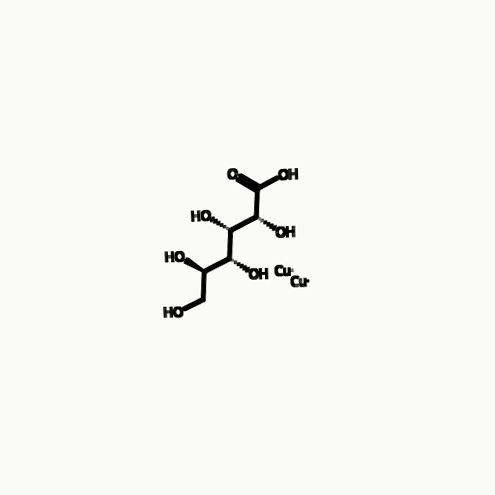 O=C(O)[C@H](O)[C@@H](O)[C@H](O)[C@H](O)CO.[Cu].[Cu]